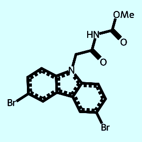 COC(=O)NC(=O)Cn1c2ccc(Br)cc2c2cc(Br)ccc21